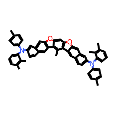 Cc1ccc(N(c2ccc3cc4c(cc3c2)oc2cc3oc5cc6cc(N(c7ccc(C)cc7)c7cccc(C)c7C)ccc6cc5c3c(C)c24)c2cccc(C)c2C)cc1